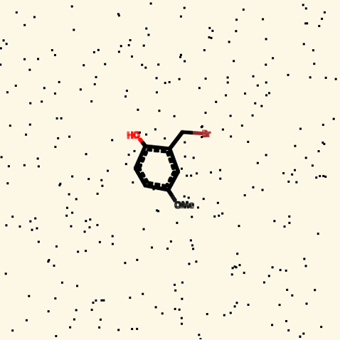 COc1ccc(O)c(CBr)c1